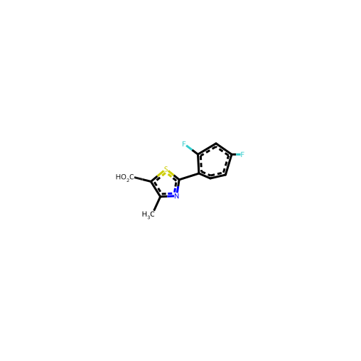 Cc1nc(-c2ccc(F)cc2F)sc1C(=O)O